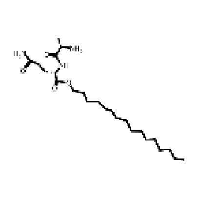 CCCCCCCCCCCCCCCCOC(=O)[C@H](CCC(N)=O)NC(=O)[C@@H](C)N